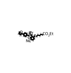 CCOC(=O)CCCCCOc1ccc(C#N)cc1CN(C(=O)c1ccc(-c2ccco2)cc1)C(C)C